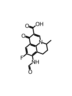 CC1CCc2c(NC=O)c(F)cc3c(=O)c(C(=O)O)cn1c23